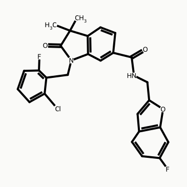 CC1(C)C(=O)N(Cc2c(F)cccc2Cl)c2cc(C(=O)NCc3cc4ccc(F)cc4o3)ccc21